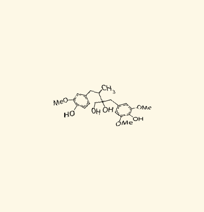 COc1cc(CC(C)C(O)(CO)Cc2cc(OC)c(O)c(OC)c2)ccc1O